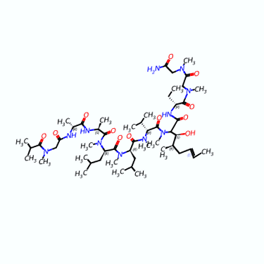 C/C=C/C[C@@H](C)[C@H](O)C(C(=O)N[C@H](CC)C(=O)N(C)CC(=O)N(C)CC(N)=O)N(C)C(=O)[C@@H](C(C)C)N(C)C(=O)[C@@H](CC(C)C)N(C)C(=O)[C@@H](CC(C)C)N(C)C(=O)[C@H](C)NC(=O)[C@@H](C)NC(=O)CN(C)C(=O)C(C)C